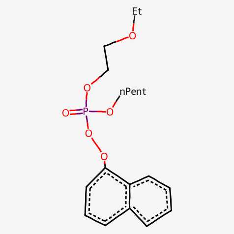 CCCCCOP(=O)(OCCOCC)OOc1cccc2ccccc12